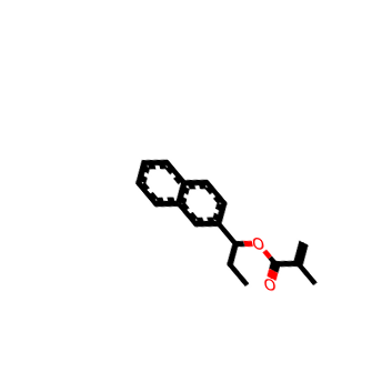 C=C(C)C(=O)OC(CC)c1ccc2ccccc2c1